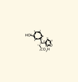 O=C(O)C[C@H](c1cccc(O)c1)c1ccon1